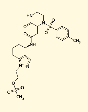 Cc1ccc(S(=O)(=O)N2CCNC(=O)C2CC(=O)N[C@@H]2CCCc3c2cnn3CCOS(C)(=O)=O)cc1